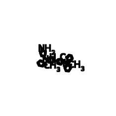 Cc1ccccc1N(c1ccc(N)cc1)c1ccc(-c2ccc(N(c3ccccc3C)c3ccccc3C)cc2)cc1